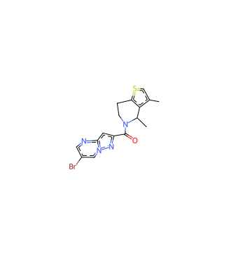 Cc1csc2c1C(C)N(C(=O)c1cc3ncc(Br)cn3n1)CC2